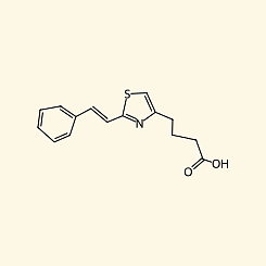 O=C(O)CCCc1csc(C=Cc2ccccc2)n1